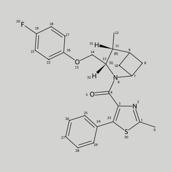 Cc1nc(C(=O)N2C3CC(C3)[C@@H](C)[C@H]2COc2ccc(F)cc2)c(-c2ccccc2)s1